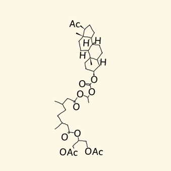 CC(=O)OCC(COC(C)=O)OC(=O)CC(C)CCC(C)CC(=O)OC(C)OC(=O)O[C@H]1CC[C@@]2(C)[C@@H](CC[C@@H]3[C@@H]2CC[C@]2(C)[C@@H](C(C)=O)CC[C@@H]32)C1